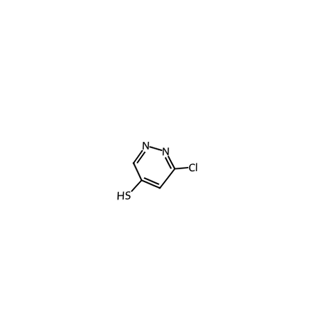 Sc1cnnc(Cl)c1